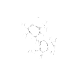 Oc1cc(C(F)(F)F)c(Cl)c(Cl)c1Cl.Oc1ccc(C(F)(F)F)c(Cl)c1Cl